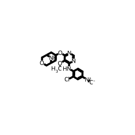 [C-]#[N+]c1ccc(Nc2ncnc(OC3CC4COCC(C3)N4)c2OC)c(Cl)c1